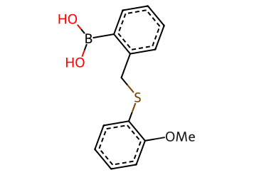 COc1ccccc1SCc1ccccc1B(O)O